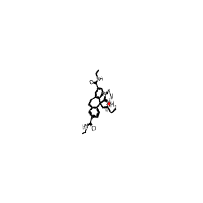 CCNC(=O)c1ccc2c(c1)CCc1cc(C(=O)NCC)ccc1C2(C[C@@H](N)CC)c1nnn[nH]1